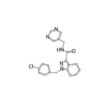 O=C(NCc1cncnc1)c1nn(Cc2ccc(Cl)cc2)c2ccccc12